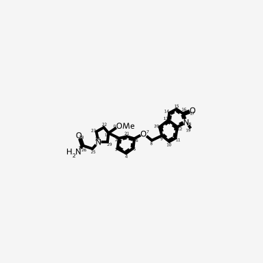 COC1(c2cccc(OCc3ccc4c(ccc(=O)n4C)c3)c2)CCN(CC(N)=O)C1